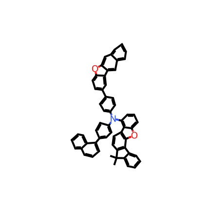 CC1(C)c2ccccc2-c2c1ccc1c2oc2cccc(N(c3ccc(-c4ccc5oc6cc7ccccc7cc6c5c4)cc3)c3ccc(-c4cccc5ccccc45)cc3)c21